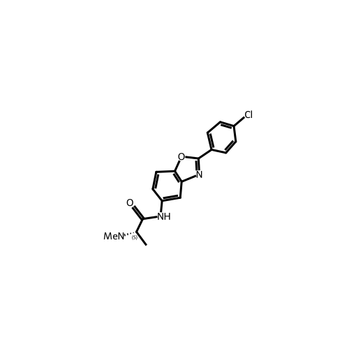 CN[C@@H](C)C(=O)Nc1ccc2oc(-c3ccc(Cl)cc3)nc2c1